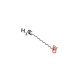 CCCCCCCCCCCCCCCCCC(=O)Br